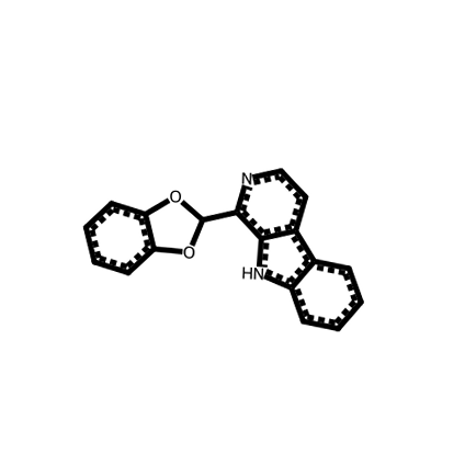 c1ccc2c(c1)OC(c1nccc3c1[nH]c1ccccc13)O2